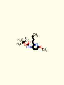 C=CCCc1nc(OC)ccc1NC(=O)OC(C)(C)C